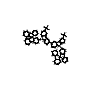 CC(C)(C)c1ccc2c(c1)c1cc(-c3ccc4c(c3)c3cc(C(C)(C)C)ccc3n4-c3ccc4c(c3)C3(c5ccccc5-c5ccccc53)c3ccccc3-4)ccc1n2-c1ccc2c(c1)C1(c3ccccc3-c3ccccc31)c1ccccc1-2